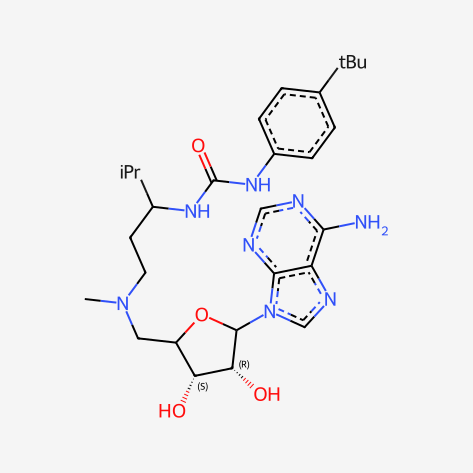 CC(C)C(CCN(C)CC1OC(n2cnc3c(N)ncnc32)[C@H](O)[C@@H]1O)NC(=O)Nc1ccc(C(C)(C)C)cc1